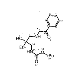 CCC(O)(CNCC(=O)c1ccccc1)CNC(=O)OC(C)(C)C